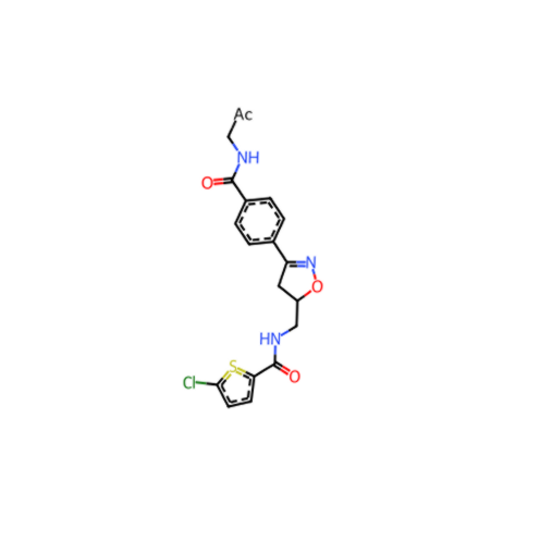 CC(=O)CNC(=O)c1ccc(C2=NOC(CNC(=O)c3ccc(Cl)s3)C2)cc1